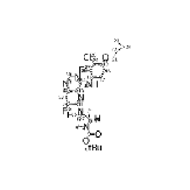 CC(C)(C)OC(=O)N1C[C@@H]2C[C@H]1CN2c1nc2c(Nc3ccc(OCC4CC4)c(Cl)c3F)ncnc2cc1F